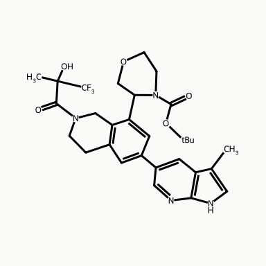 Cc1c[nH]c2ncc(-c3cc4c(c(C5COCCN5C(=O)OC(C)(C)C)c3)CN(C(=O)C(C)(O)C(F)(F)F)CC4)cc12